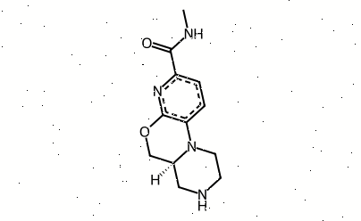 CNC(=O)c1ccc2c(n1)OC[C@@H]1CNCCN21